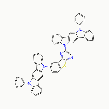 c1ccc(-n2c3ccccc3c3cc4c(cc32)c2ccccc2n4-c2ccc3sc4ncc(-n5c6ccccc6c6cc7c(cc65)c5ccccc5n7-c5ccccc5)nc4c3c2)cc1